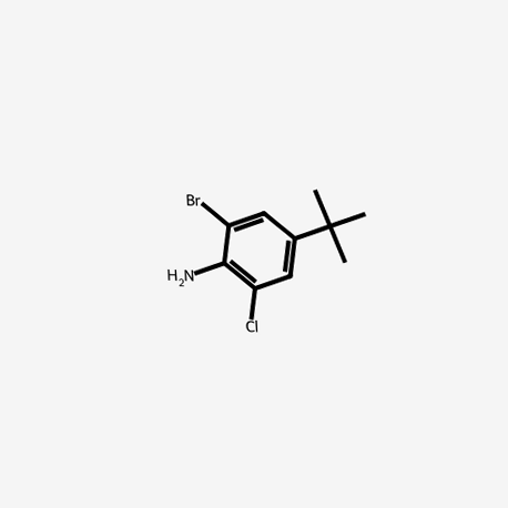 CC(C)(C)c1cc(Cl)c(N)c(Br)c1